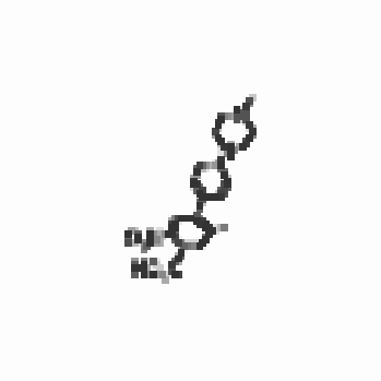 Cc1cc(C(=O)O)c([N+](=O)[O-])cc1-c1ccc(N2CCN(C)CC2)cc1